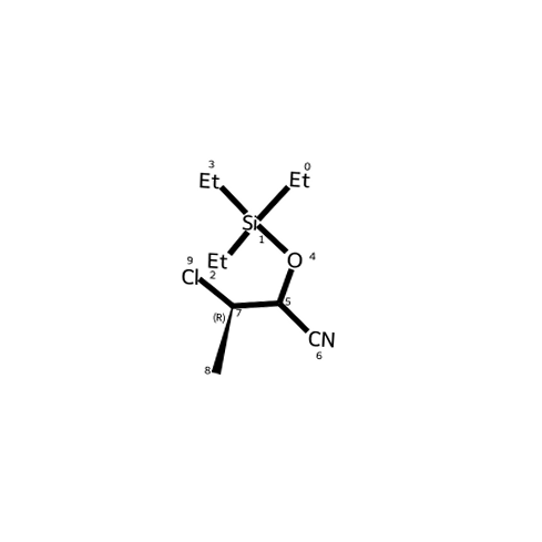 CC[Si](CC)(CC)OC(C#N)[C@@H](C)Cl